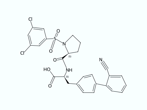 N#Cc1ccccc1-c1ccc(C[C@H](NC(=O)[C@@H]2CCCN2S(=O)(=O)c2cc(Cl)cc(Cl)c2)C(=O)O)cc1